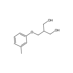 Cc1[c]ccc(OCC(CO)CO)c1